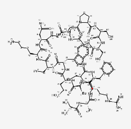 CC[C@H](C)[C@H](NC(=O)[C@H](Cc1ccccc1)NC(=O)[C@H](CC(C)C)NC(=O)[C@H](CCCNC(=N)N)NC(=O)[C@@H](NC(=O)[C@H](C)N)C(C)C)C(=O)N[C@@H](CCC(=O)O)C(=O)N[C@@H](Cc1c[nH]c2ccccc12)C(=O)N[C@@H](CC(C)C)C(=O)N[C@@H](CCCCN)C(=O)N[C@@H](CC(N)=O)C(=O)NCC(=O)NCC(=O)N1CCC[C@H]1C(=O)N[C@@H](CO)C(=O)N[C@@H](CO)C(=O)NCC(=O)N[C@@H](C)C(=O)O